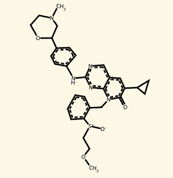 COCC[S+]([O-])c1ccccc1Cn1c(=O)c(C2CC2)cc2cnc(Nc3ccc(C4CN(C)CCO4)cc3)nc21